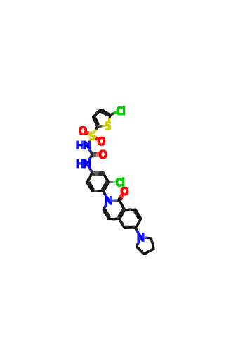 O=C(Nc1ccc(-n2ccc3cc(N4CCCC4)ccc3c2=O)c(Cl)c1)NS(=O)(=O)c1ccc(Cl)s1